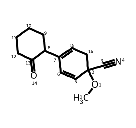 COC1(C#N)C=CC(C2CCCCC2=O)=CC1